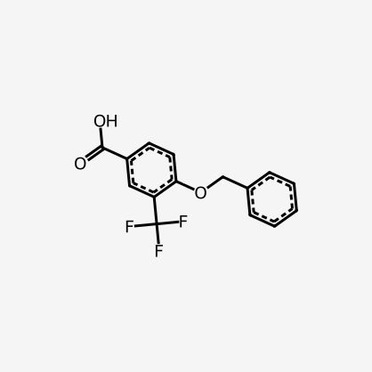 O=C(O)c1ccc(OCc2ccccc2)c(C(F)(F)F)c1